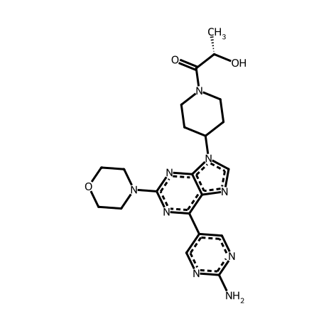 C[C@H](O)C(=O)N1CCC(n2cnc3c(-c4cnc(N)nc4)nc(N4CCOCC4)nc32)CC1